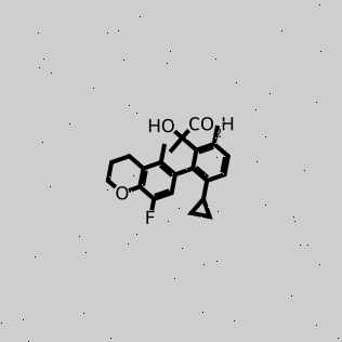 Cc1ccc(C2CC2)c(-c2cc(F)c3c(c2C)CCCO3)c1C(C)(O)C(=O)O